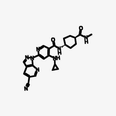 CNC(=O)[C@H]1CC[C@H](NC(=O)c2cnc(-n3ncc4cc(C#N)cnc43)cc2NC2CC2)CC1